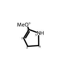 COC1=CC[CH]N1